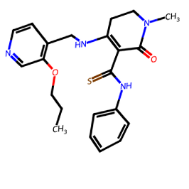 CCCOc1cnccc1CNC1=C(C(=S)Nc2ccccc2)C(=O)N(C)CC1